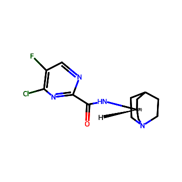 O=C(N[C@@H]1CC2CCN(CC2)C1)c1ncc(F)c(Cl)n1